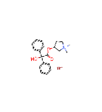 C[N+]1(C)CCC(OC(=O)C(O)(c2ccccc2)c2ccccc2)C1.[Br-]